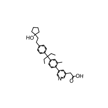 CCC(CC)(c1ccc(CCC2(O)CCCC2)cc1)c1ccc(-c2cncc(CC(=O)O)c2)c(C)c1